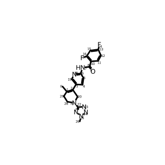 CC1=C(c2ccc(NC(=O)c3ccc(F)cc3F)nc2)CN(c2nnn(C)n2)CC1